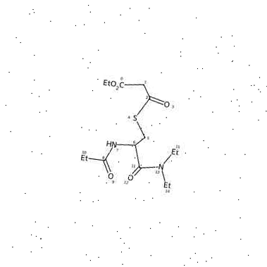 CCOC(=O)CC(=O)SCC(NC(=O)CC)C(=O)N(CC)CC